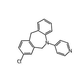 Clc1ccc2c(c1)CN(c1ccncc1)c1ccccc1C2